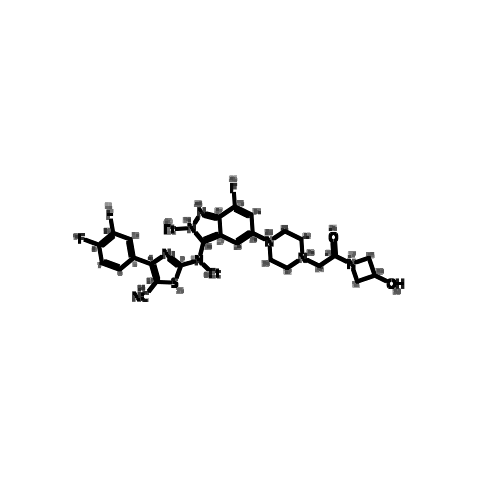 CCN(c1nc(-c2ccc(F)c(F)c2)c(C#N)s1)c1c2cc(N3CCN(CC(=O)N4CC(O)C4)CC3)cc(F)c2nn1CC